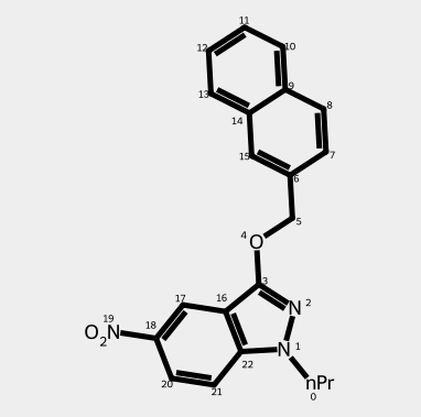 CCCn1nc(OCc2ccc3ccccc3c2)c2cc([N+](=O)[O-])ccc21